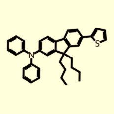 CCCCC1(CCCC)c2cc(-c3cccs3)ccc2-c2ccc(N(c3ccccc3)c3ccccc3)cc21